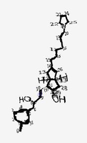 Cc1cccc(C[C@@H](O)/C=C/[C@@H]2[C@H]3CC(CCCCCCN4CCCC4)=C[C@H]3C[C@H]2O)c1